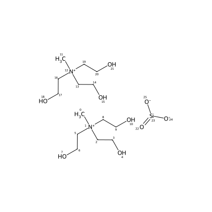 C[N+](CCO)(CCO)CCO.C[N+](CCO)(CCO)CCO.O=[Si]([O-])[O-]